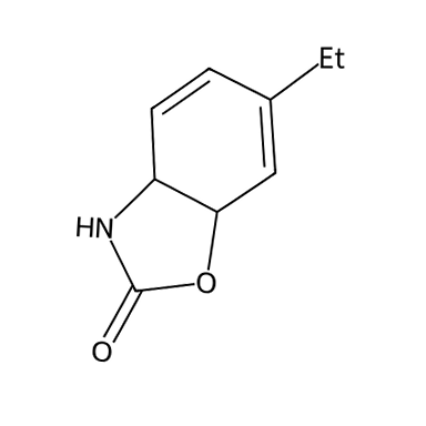 CCC1=CC2OC(=O)NC2C=C1